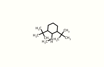 CNC1C(C(C)(C)C)CCCC1C(C)(C)C